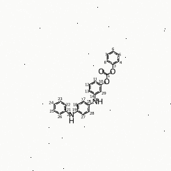 O=C(Oc1ccccc1)Oc1cccc(Nc2ccc(Nc3ccccc3)cc2)c1